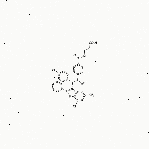 CCCC(c1ccc(C(=O)NCCC(=O)O)cc1)C(c1ccc(Cl)cc1)c1c2cc(C(F)(F)F)cc(Cl)c2nn1-c1ccccc1